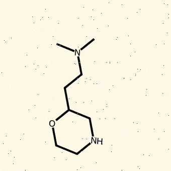 CN(C)CCC1CNCCO1